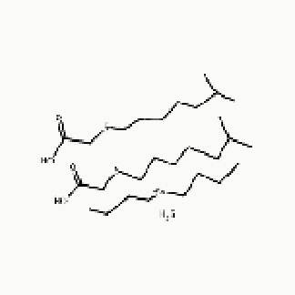 CC(C)CCCCCSCC(=O)O.CC(C)CCCCCSCC(=O)O.CCC[CH2][Sn][CH2]CCC.S